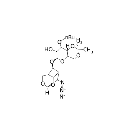 CCCCOC1C(O)[C@H](O[C@@H]2C3CO[C@@H]4OC3C2C4N=[N+]=[N-])OC2COC(C)(C)O[C@H]21